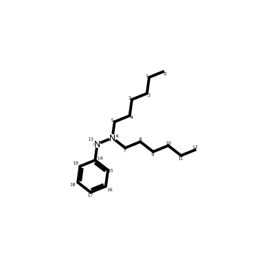 CCCCCCN(CCCCCC)[N]c1ccccc1